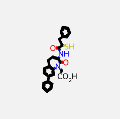 O=C(O)CN1C(=O)C(NC(=O)C(S)Cc2ccccc2)=CCc2ccc(-c3ccccc3)cc21